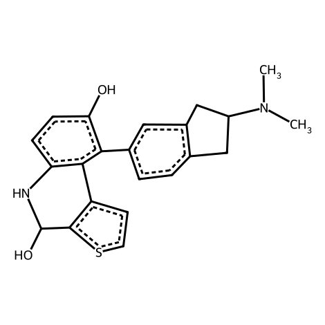 CN(C)C1Cc2ccc(-c3c(O)ccc4c3-c3ccsc3C(O)N4)cc2C1